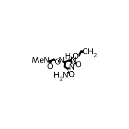 C=CCON1C(=O)N2C[C@H]1/C(=N/OCC(=O)NC)C[C@H]2C(N)=O